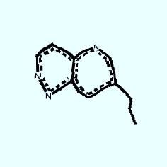 CCc1cnc2ccnnc2c1